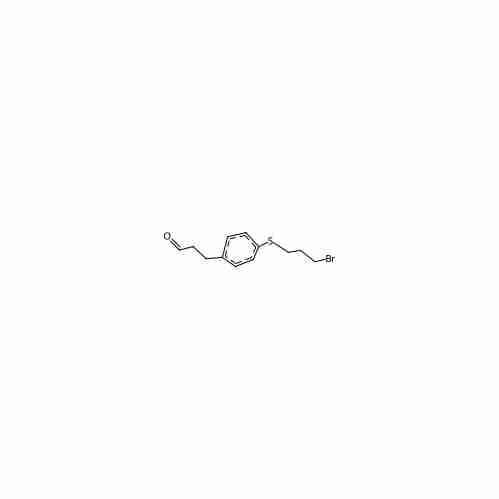 O=CCCc1ccc(SCCCBr)cc1